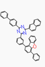 c1ccc(-c2ccc(-c3nc(-c4cccc(-c5ccc(-c6ccccc6)c6oc7ccccc7c56)c4)nc(-c4ccc5ccccc5c4)n3)cc2)cc1